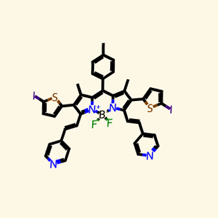 CC1=C(c2ccc(I)s2)C(/C=C/c2ccncc2)=[N+]2C1=C(c1ccc(C)cc1)c1c(C)c(-c3ccc(I)s3)c(/C=C/c3ccncc3)n1[B-]2(F)F